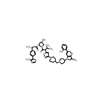 Cc1ncsc1-c1ccc([C@H](C)NC(=O)[C@@H]2C[C@@H](O)CN2C(=O)C(c2cc(N3CCC(CN4CCC(n5nc(N)c6nnc(-c7ccccc7O)cc65)CC4)CC3)no2)C(C)C)cc1